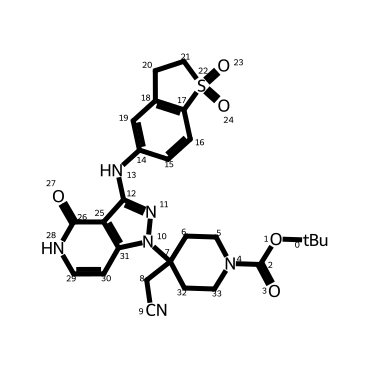 CC(C)(C)OC(=O)N1CCC(CC#N)(n2nc(Nc3ccc4c(c3)CCS4(=O)=O)c3c(=O)[nH]ccc32)CC1